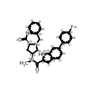 CNC(=O)[C@@H]1C[C@H](N(C)C(=O)c2cc3ccc(-c4ccc(F)cc4)cc3[nH]2)CN1Cc1ccccc1